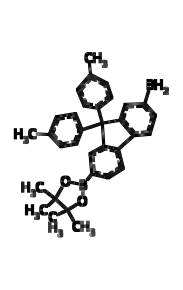 Bc1ccc2c(c1)C(c1ccc(C)cc1)(c1ccc(C)cc1)c1cc(B3OC(C)(C)C(C)(C)O3)ccc1-2